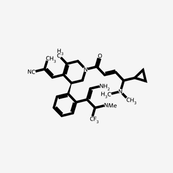 CNC(/C(=C\N)c1ccccc1[C@@H]1CN(C(=O)/C=C/C(C2CC2)N(C)C)CC(C)=C1/C=C(\C)C#N)C(F)(F)F